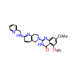 COc1cc(OC(C)C)c2c(=O)[nH]c(N3CCc4nc(NCc5ccccn5)ccc4C3)nc2c1